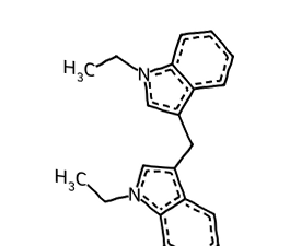 CCn1cc(Cc2cn(CC)c3ccccc23)c2ccccc21